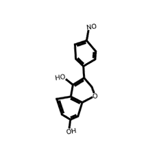 O=Nc1ccc(C2=C(O)c3ccc(O)cc3OC2)cc1